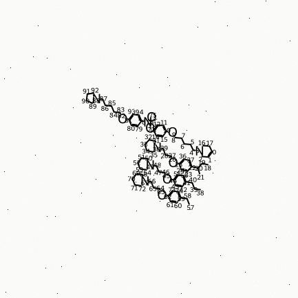 C1=CCN(CCCCCOc2ccccc2)CC1.CCC(C)c1ccc(OCCCN2CCCCC2)cc1.CCCc1ccc(OCCCN2CCCCC2)cc1.CCc1ccc(OCCCN2CCCCC2)cc1.O=[N+]([O-])c1ccc(OCCCCCN2CCCC2)cc1